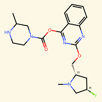 CC1CN(C(=O)Oc2nc(OC[C@@H]3C[C@@H](F)CN3C)nc3ccccc23)CCN1